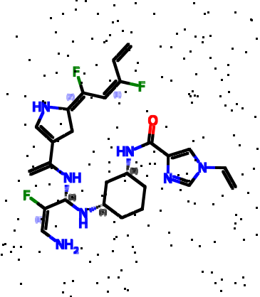 C=C/C(F)=C\C(F)=C1/CC(C(=C)N[C@H](N[C@H]2CCC[C@@H](NC(=O)c3cn(C=C)cn3)C2)/C(F)=C\N)=CN1